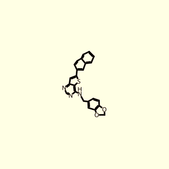 c1ccc2cc(-c3cc4ncnc(NCc5ccc6c(c5)OCO6)c4s3)ccc2c1